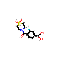 O=C(c1ccc(B(O)O)cc1F)N1CCS(=O)(=O)CC1